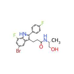 C[C@H](CO)NC(=O)CCc1c(-c2ccc(F)cc2)[nH]c2c(F)cc(Br)cc12